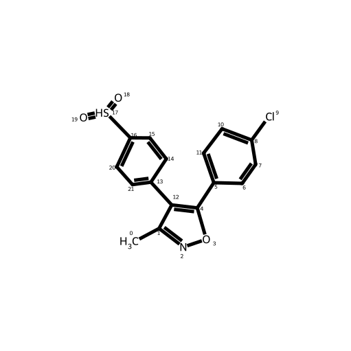 Cc1noc(-c2ccc(Cl)cc2)c1-c1ccc([SH](=O)=O)cc1